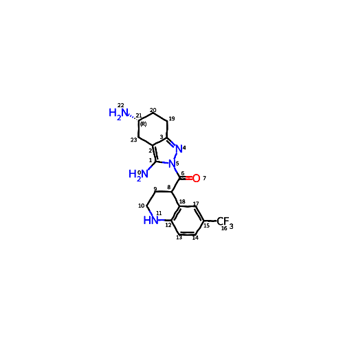 Nc1c2c(nn1C(=O)C1CCNc3ccc(C(F)(F)F)cc31)CC[C@@H](N)C2